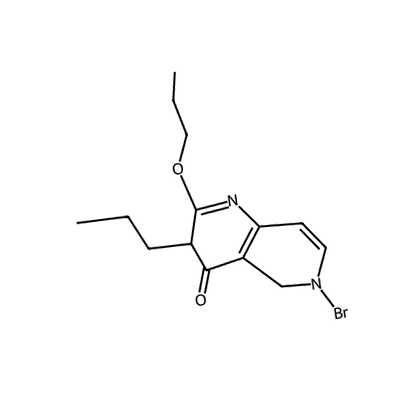 CCCOC1=NC2=C(CN(Br)C=C2)C(=O)C1CCC